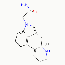 NC(=O)Cn1cc2c3c(cccc31)C1=CCCN[C@@H]1C2